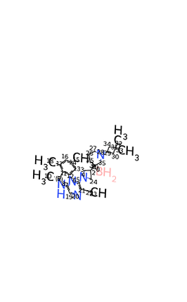 B[C@]1(C2CN(c3nc(N[C@H](C)c4ccc(C)cc4C)cnc3C#C)C2)CCCN(C2CC(C)(C)C2)C1